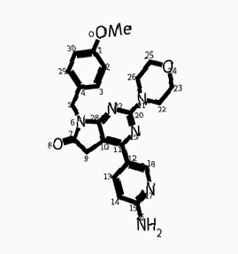 COc1ccc(CN2C(=O)Cc3c(-c4ccc(N)nc4)nc(N4CCOCC4)nc32)cc1